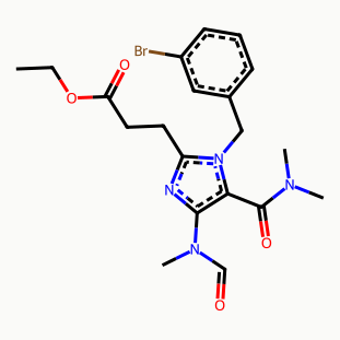 CCOC(=O)CCc1nc(N(C)C=O)c(C(=O)N(C)C)n1Cc1cccc(Br)c1